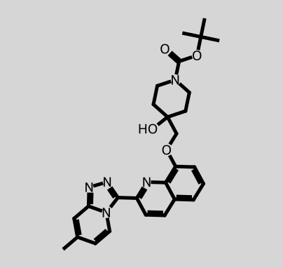 Cc1ccn2c(-c3ccc4cccc(OCC5(O)CCN(C(=O)OC(C)(C)C)CC5)c4n3)nnc2c1